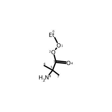 CCOOC(=O)C(C)(C)N